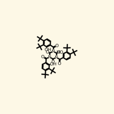 CC(C)(C)c1ccc(C(=O)n2c(=O)n(C(=O)c3ccc(C(C)(C)C)c(C(C)(C)C)c3O)c(=O)n(C(=O)c3ccc(C(C)(C)C)c(C(C)(C)C)c3O)c2=O)c(O)c1C(C)(C)C